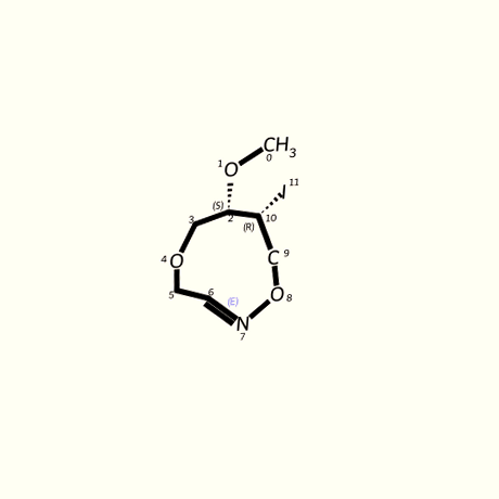 CO[C@H]1COC/C=N/OC[C@H]1I